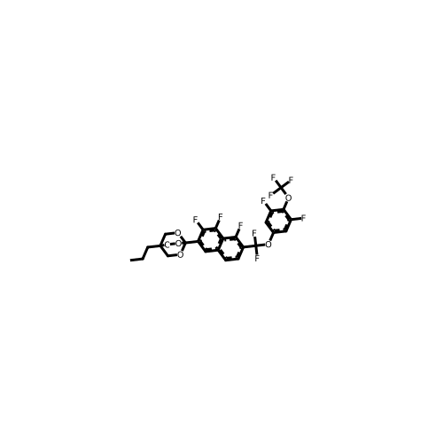 CCCC12COC(c3cc4ccc(C(F)(F)Oc5cc(F)c(OC(F)(F)F)c(F)c5)c(F)c4c(F)c3F)(OC1)OC2